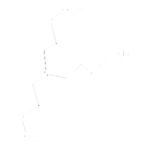 CCOC(=O)OCCN(CCOC(=O)OCC)CCOC(=O)OCC